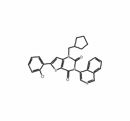 O=c1c2sc(-c3ccccc3Cl)cc2n(CC2CCCC2)c(=O)n1-c1cncc2ccccc12